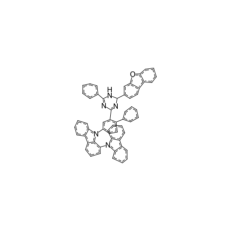 c1ccc(C2=NC(c3cc(-n4c5ccccc5c5cccc(-n6c7ccccc7c7ccccc76)c54)ccc3-c3ccccc3)=NC(c3ccc4c(c3)oc3ccccc34)N2)cc1